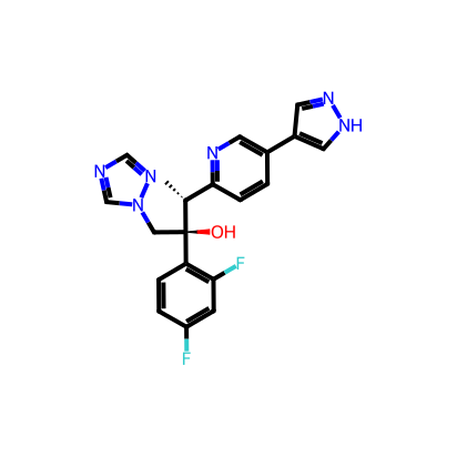 C[C@H](c1ccc(-c2cn[nH]c2)cn1)[C@@](O)(Cn1cncn1)c1ccc(F)cc1F